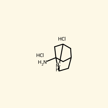 Cl.Cl.NC12CC3CC(CC(C3)N1)C2